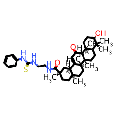 CC1(C)C2CC[C@]3(C)[C@H](C(=O)C=C4[C@H]5C[C@@](C)(C(=O)NCCNC(=S)Nc6ccccc6)CC[C@]5(C)CC[C@]43C)[C@@]2(C)CC[C@@H]1O